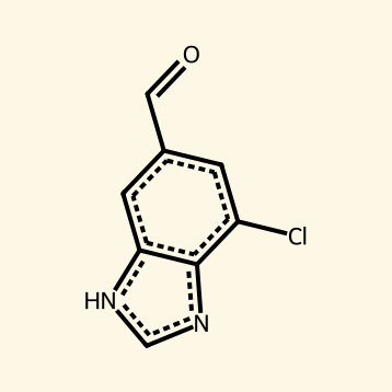 O=Cc1cc(Cl)c2nc[nH]c2c1